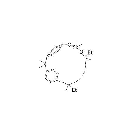 CCC1(C)CCCCC(C)(CC)c2ccc(cc2)C(C)(C)c2ccc(cc2)O[Si](C)(C)O1